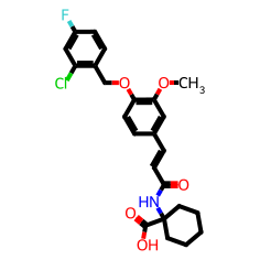 COc1cc(C=CC(=O)NC2(C(=O)O)CCCCC2)ccc1OCc1ccc(F)cc1Cl